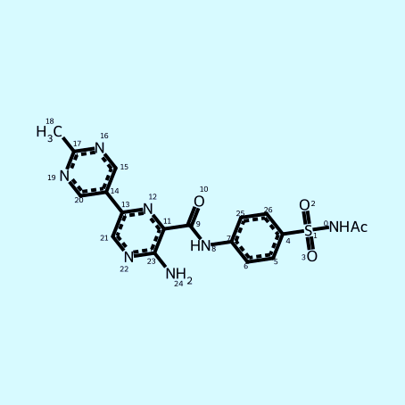 CC(=O)NS(=O)(=O)c1ccc(NC(=O)c2nc(-c3cnc(C)nc3)cnc2N)cc1